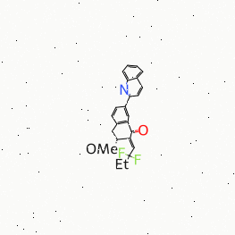 CCC(F)(F)C=C1C(=O)c2cc(-c3ccc4ccccc4n3)ccc2CC1OC